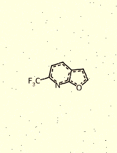 FC(F)(F)c1ccc2ccoc2n1